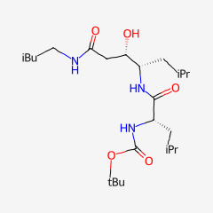 CCC(C)CNC(=O)C[C@H](O)[C@H](CC(C)C)NC(=O)[C@H](CC(C)C)NC(=O)OC(C)(C)C